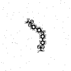 C=C(C)C(=O)Oc1ccc(-c2ccc(N(C)c3ccc(-c4ccc(OC(=O)C(=C)C)cc4)cc3)cc2)cc1